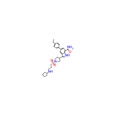 CCc1ccc(-c2cc(C(N)=O)c3[nH]cc(C4CCN(S(=O)(=O)CCCNC5CCCC5)CC4)c3c2)cc1